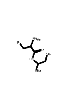 CCCCC(CO)NC(=O)C(CC(C)C)NC(C)=O